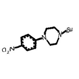 CCC(C)N1CCN(c2ccc([N+](=O)[O-])cc2)CC1